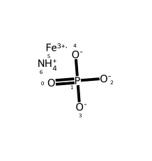 O=P([O-])([O-])[O-].[Fe+3].[NH4+]